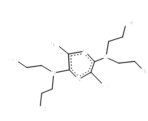 Cc1nc(N(CCO)CCO)c(C#N)nc1N(CCO)CCN=O